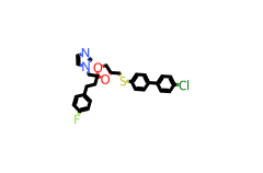 Fc1ccc(CCC2(Cn3ccnc3)OCC(CSc3ccc(-c4ccc(Cl)cc4)cc3)O2)cc1